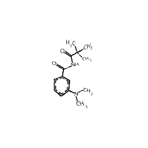 CN(C)c1cccc(C(=O)NC(=O)C(C)(C)C)c1